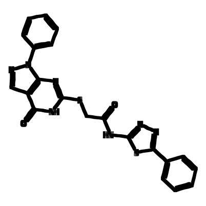 O=C(CSc1nc2c(cnn2-c2ccccc2)c(=O)[nH]1)Nc1nnc(-c2ccccc2)s1